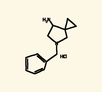 Cl.NC1CN(Cc2ccccc2)CC12CC2